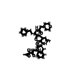 CC(C)CC(NC(=O)[C@H](CCc1ccccc1)NC(=O)CN1CCOCC1)C(=O)N[C@@H](Cc1ccccc1)C(=O)NCC(=O)[C@]1(C)CO1